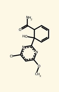 COc1cc(Cl)nc(C2(O)C=CC=CC2C(N)=O)n1